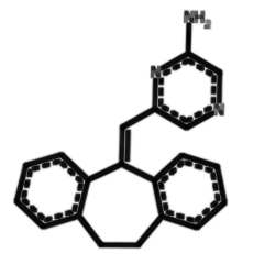 Nc1cncc(C=C2c3ccccc3CCc3ccccc32)n1